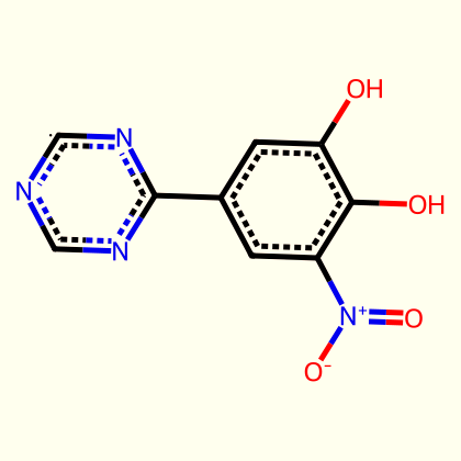 O=[N+]([O-])c1cc(-c2n[c]ncn2)cc(O)c1O